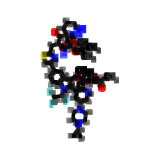 COC(=O)C1(C(=O)C(Cc2nc(-c3ccc4c(c3)c(CC(C)(C)COC(C)=O)c(-c3cc(N5CCN(C6CC6)CC5)cnc3[C@H](C)OC)n4C(F)C(F)F)cs2)NC(=O)OC(C)(C)C)CCCNN1